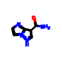 NC(=O)c1c[nH]n2ccnc12